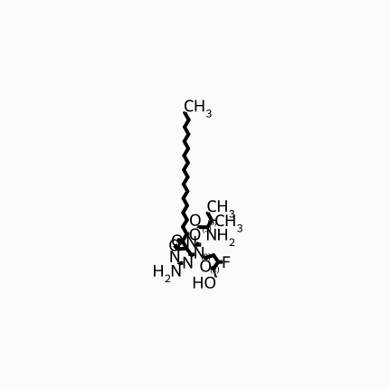 CCCCCCCCCCCCCCCCCCC(OC(=O)[C@@H](N)[C@@H](C)CC)C(=O)C12N=CN([C@H]3CC(F)[C@@H](CO)O3)C1=NC(N)=NC2=O